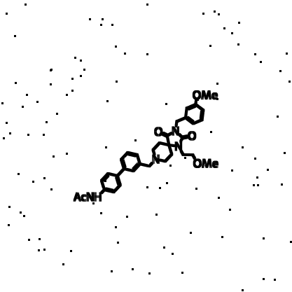 COCCN1C(=O)N(Cc2cccc(OC)c2)C(=O)C12CCN(Cc1cccc(-c3ccc(NC(C)=O)cc3)c1)CC2